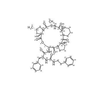 C[C@H]1C[C@H]2C(=O)OC[C@H](NC(=O)[C@H](Cc3ccccc3)NC(=O)NCCc3ccccc3)C(=O)N3CCC[C@H]3C(=O)N3CCCC[C@H]3C(=O)N[C@@H](C)C(=O)N2C1